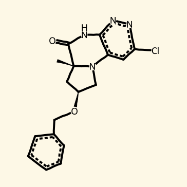 C[C@]12C[C@H](OCc3ccccc3)CN1c1cc(Cl)nnc1NC2=O